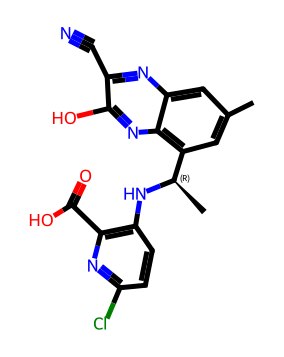 Cc1cc([C@@H](C)Nc2ccc(Cl)nc2C(=O)O)c2nc(O)c(C#N)nc2c1